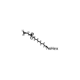 CCCCCC/C=C/CCCCCCCCOC(=O)CCC1CC1